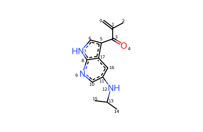 C=C(C)C(=O)c1c[nH]c2ncc(NC(C)C)cc12